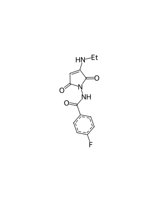 CCNC1=CC(=O)N(NC(=O)c2ccc(F)cc2)C1=O